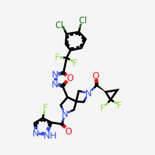 O=C(c1[nH]ncc1F)N1CC(c2nnc(C(F)(F)c3ccc(Cl)c(Cl)c3)o2)C2(C1)CN(C(=O)[C@H]1CC1(F)F)C2